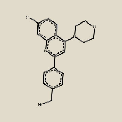 N#CCc1ccc(-c2cc(N3CCOCC3)c3ccc(Cl)cc3n2)cc1